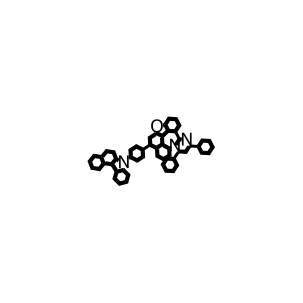 c1ccc(-c2cc(-c3ccccc3)nc(-c3cccc4oc5cc(-c6ccc(-n7c8ccccc8c8c9ccccc9ccc87)cc6)c6ccccc6c5c34)n2)cc1